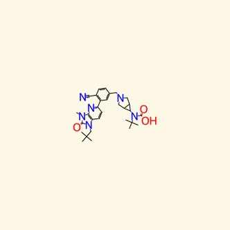 Cn1c(=O)n(CC(C)(C)C)c2ccc(-c3cc(CN4CC5C(C4)C5N(C(=O)O)C(C)(C)C)ccc3C#N)nc21